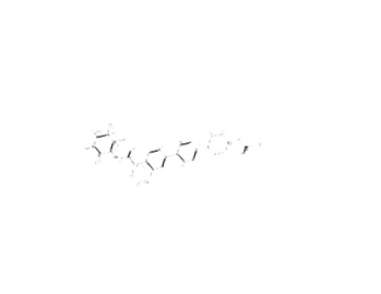 O=C(O)C[C@H]1CC[C@H](c2ccc(-c3ccc4c(c3)OCCN4C(=O)Nc3c(F)c(F)c(F)c(F)c3F)cc2)CC1